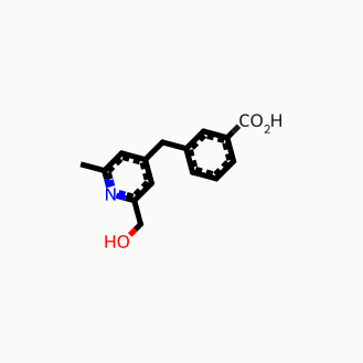 Cc1cc(Cc2cccc(C(=O)O)c2)cc(CO)n1